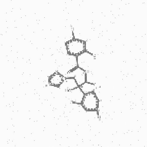 CC(NC(=O)c1ccc(Cl)cc1Cl)C(O)(Cn1cncn1)c1ccc(Cl)cc1Cl